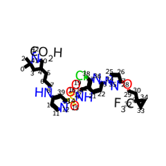 CC1(C)CC(CCCNc2ccnc(S(=O)(=O)NC(=O)c3ccc(-n4ccc(OCCC5(C(F)(F)F)CC5)n4)nc3Cl)c2)CN1C(=O)O